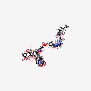 COc1cccc2c1C(=O)c1c(O)c3c(c(O)c1C2=O)C[C@@](O)(C(=O)N1CC(CNC(=O)OCc2ccc(NC(=O)[C@H](C)NC(=O)[C@H](C)NC(=O)CCN4C(=O)CC(C(C)(I)CCCC5CC5)C4=O)cc2)C1)C[C@@H]3O[C@H]1C[C@H]2[C@H](O[C@@H]3[C@@H](OC)OCCN32)[C@H](C)O1